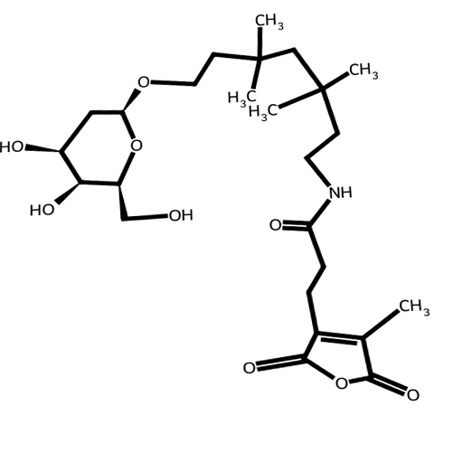 CC1=C(CCC(=O)NCCC(C)(C)CC(C)(C)CCO[C@@H]2C[C@H](O)[C@H](O)[C@H](CO)O2)C(=O)OC1=O